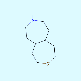 C1CC2CCSCCC2CCN1